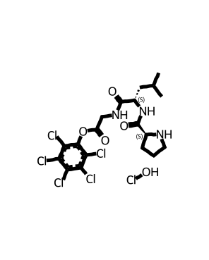 CC(C)C[C@H](NC(=O)[C@@H]1CCCN1)C(=O)NCC(=O)Oc1c(Cl)c(Cl)c(Cl)c(Cl)c1Cl.OCl